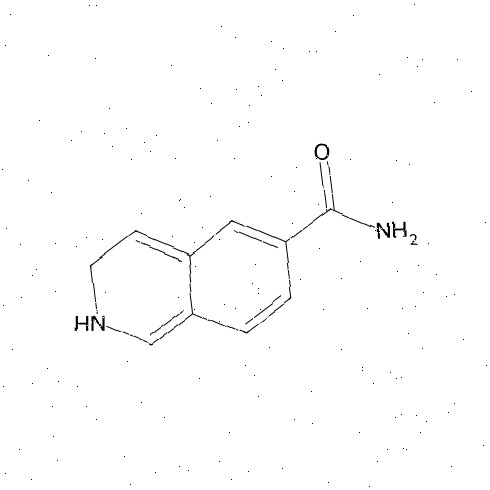 NC(=O)c1ccc2c(c1)=CCNC=2